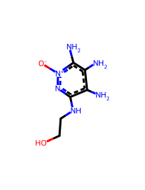 Nc1c(NCCO)n[n+]([O-])c(N)c1N